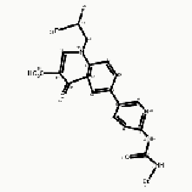 CCNC(=O)Nc1ccc(-c2ccc3c(c2)c(=O)c(C(=O)O)cn3CC(F)F)cn1